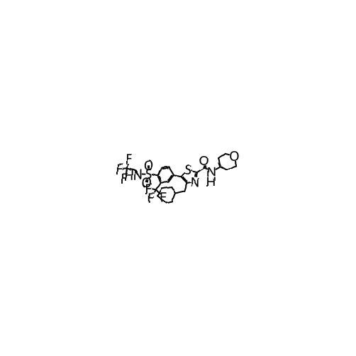 O=C(NC1CCOCC1)c1nc(CC2CCCCC2)c(-c2ccc(S(=O)(=O)NCC(F)(F)F)c(C(F)(F)F)c2)s1